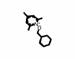 Cc1cc(C)[n+](OCC2CCCCC2)c(C)c1